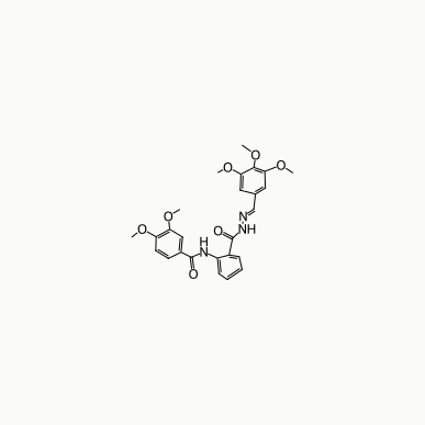 COc1ccc(C(=O)Nc2ccccc2C(=O)NN=Cc2cc(OC)c(OC)c(OC)c2)cc1OC